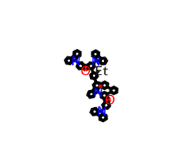 CCc1cc(-c2ccc3c(c2)c2ccccc2n3-c2cc(-c3ccccc3-c3ccccc3)c3oc4ccc(-n5c6ccccc6c6ccccc65)cc4c3c2)ccc1-c1cc(-n2c3ccccc3c3ccccc32)cc2c1oc1ccc(-n3c4ccccc4c4ccccc43)cc12